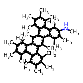 CNc1c(C)c(C)c2c(c1C)c1c(C)c(C)c(C)c(C)c1c1c(C)c3c4c(C)c(C)c(C)c(C)c4c4c(C)c(C)c(C)c(C)c4c3c(C)c21